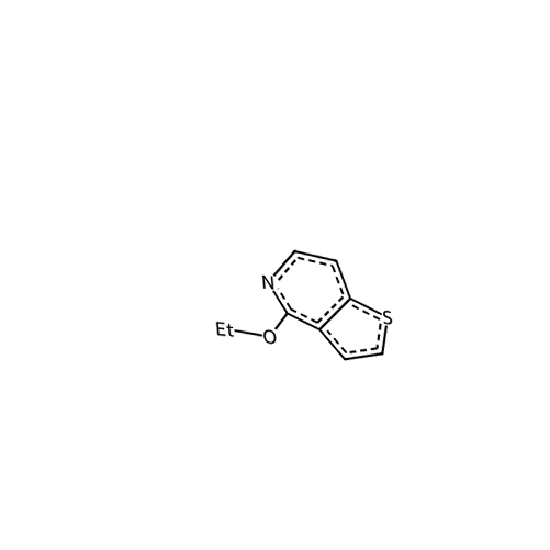 CCOc1nccc2sccc12